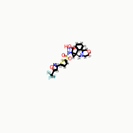 O=C(O)[C@@]1(NS(=O)(=O)c2ccc(-c3cc(C(F)(F)F)on3)s2)C[C@@]1(CN1CCOCC1)c1ccccc1